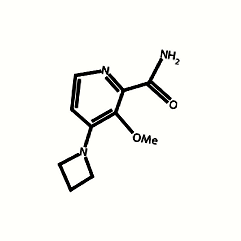 COc1c(N2CCC2)ccnc1C(N)=O